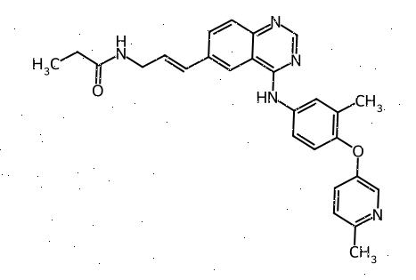 CCC(=O)NC/C=C/c1ccc2ncnc(Nc3ccc(Oc4ccc(C)nc4)c(C)c3)c2c1